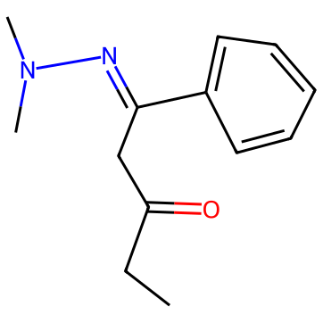 CCC(=O)C/C(=N\N(C)C)c1ccccc1